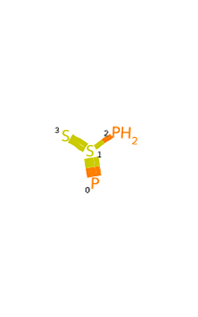 P#S(P)=S